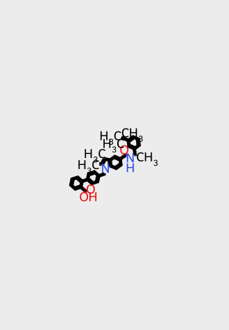 Cc1c(C)n(Cc2ccc(-c3ccccc3C(=O)O)cc2)c2ccc(C(=O)N[C@@H](C)c3cccc(C(C)(C)C)c3)cc12